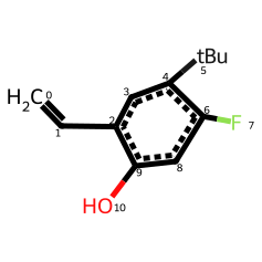 C=Cc1cc(C(C)(C)C)c(F)cc1O